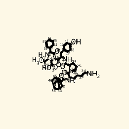 CC(C)C[C@@H](C(=O)O)N(C(=O)C(Cc1ccc(O)cc1)NC(=O)C1CCCN1C(=O)C(CCCCN)NC(=O)C12CC3CC(CC(C3)C1)C2)C(=O)C(N)c1ccccc1